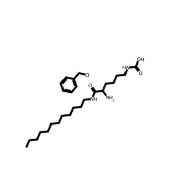 CCCCCCCCCCCCNC(=O)C(N)CCCCNC(=O)O.ClCc1ccccc1